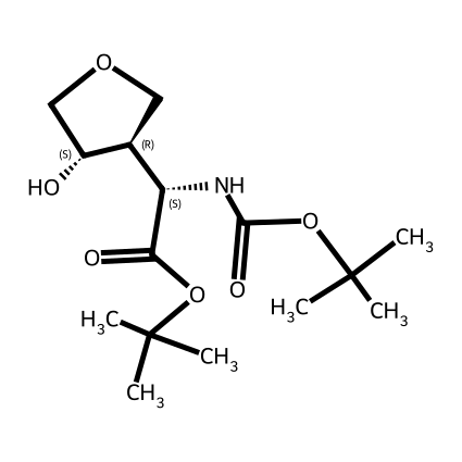 CC(C)(C)OC(=O)N[C@H](C(=O)OC(C)(C)C)[C@@H]1COC[C@H]1O